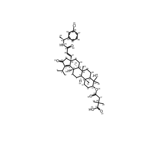 CC(C)C1=C2[C@H]3CC[C@@H]4[C@@]5(C)CC[C@H](OC(=O)CC(C)(C)C(=O)O)C(C)(C)[C@@H]5CC[C@@]4(C)[C@]3(C)CC[C@@]2(/C=C/C(=O)N[C@@H](C)c2cccc(Cl)c2)CC1=O